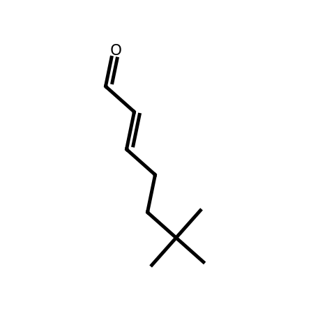 CC(C)(C)CCC=CC=O